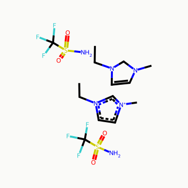 CCN1C=CN(C)C1.CCn1cc[n+](C)c1.NS(=O)(=O)C(F)(F)F.NS(=O)(=O)C(F)(F)F